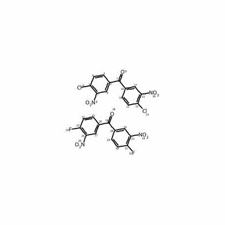 O=C(c1ccc(Cl)c([N+](=O)[O-])c1)c1ccc(Cl)c([N+](=O)[O-])c1.O=C(c1ccc(F)c([N+](=O)[O-])c1)c1ccc(F)c([N+](=O)[O-])c1